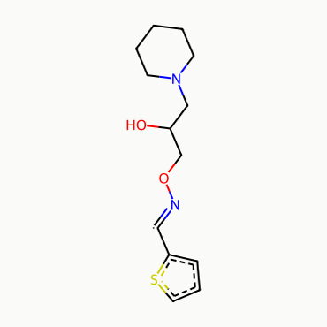 OC(CO/N=[C]/c1cccs1)CN1CCCCC1